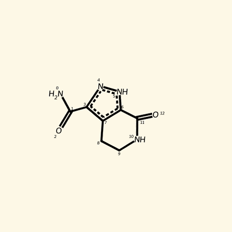 NC(=O)c1n[nH]c2c1CCNC2=O